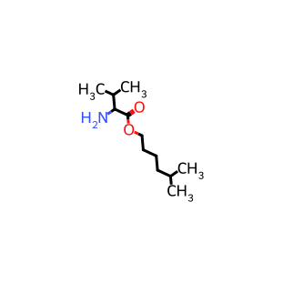 CC(C)CCCCOC(=O)C(N)C(C)C